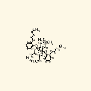 CCCCCc1ccccc1[O][Sn]([CH2]CCC)([CH2]CCC)[O][Sn]([CH2]CCC)([CH2]CCC)[O]c1ccccc1CCCCC